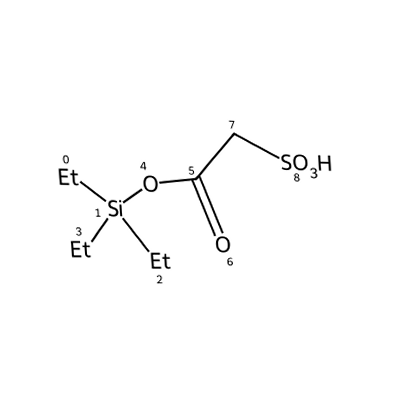 CC[Si](CC)(CC)OC(=O)CS(=O)(=O)O